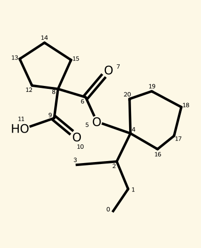 CCC(C)C1(OC(=O)C2(C(=O)O)CCCC2)CCCCC1